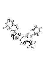 Cc1cncc2ccc(S(=O)(=O)N[C@H](C)CN(CCc3ccccc3)C(=O)OC(C)(C)C)cc12